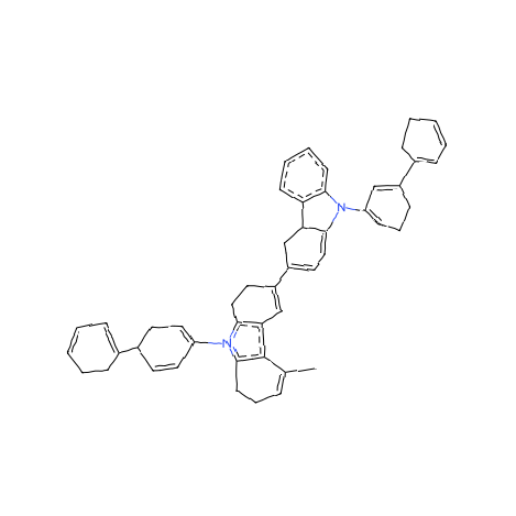 CC1=CCCc2c1c1c(n2C2=CCC(C3=CC=CCC3)C=C2)CCC(C2=CC=C3C(C2)c2ccccc2N3C2=CCCC(C3=CC=CCC3)=C2)=C1